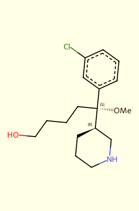 CO[C@](CCCCO)(c1cccc(Cl)c1)[C@@H]1CCCNC1